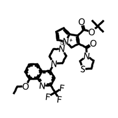 CCOc1cccc2c(N3CCN([N@@+]45C=CC=C4C(C(=O)OC(C)(C)C)=C(C(=O)N4CCSC4)C5)CC3)cc(C(F)(F)F)nc12